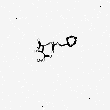 COC(=O)[C@H]1NC(=O)[C@H]1NC(=O)OCc1ccccc1